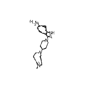 CN1CCN(C2CCN(c3n[nH]c4cc(N)ccc34)CC2)CC1